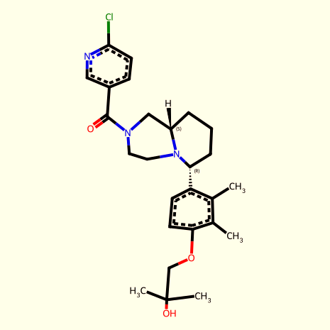 Cc1c(OCC(C)(C)O)ccc([C@H]2CCC[C@H]3CN(C(=O)c4ccc(Cl)nc4)CCN32)c1C